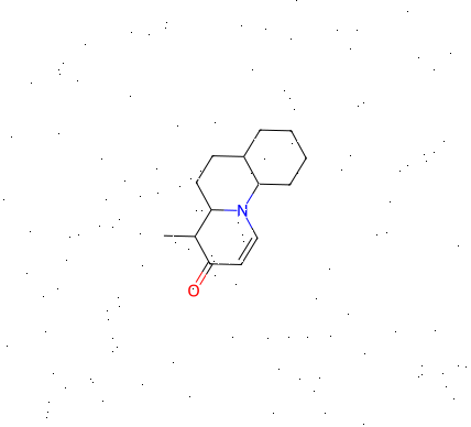 CC1C(=O)C=CN2C3CCCCC3CCC12